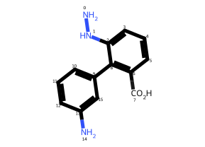 NNc1cccc(C(=O)O)c1-c1cccc(N)c1